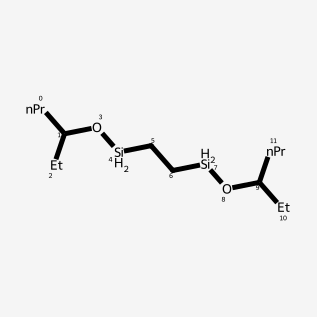 CCCC(CC)O[SiH2]CC[SiH2]OC(CC)CCC